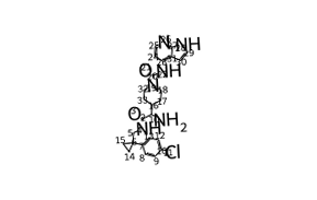 NC(C(=O)NCC1(c2ccc(Cl)cc2)CC1)C1CCN(C(=O)Nc2ccnc3[nH]ccc23)CC1